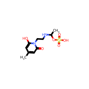 Cc1cc(O)n(CCNC(C)OS(=O)(=O)O)c(=O)c1